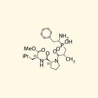 COC(=O)[C@H](CC(C)C)NC(=O)[C@@H]1CCCN1C(=O)C(C)CP(=O)(O)C(N)Cc1ccccc1